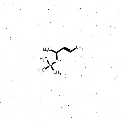 CC=CC(C)O[Si](C)(C)C